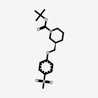 CC(C)(C)OC(=O)N1CCC[C@@H](COc2ccc(S(C)(=O)=O)cc2)C1